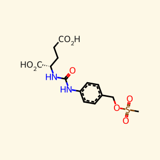 CS(=O)(=O)OCc1ccc(NC(=O)N[C@@H](CCC(=O)O)C(=O)O)cc1